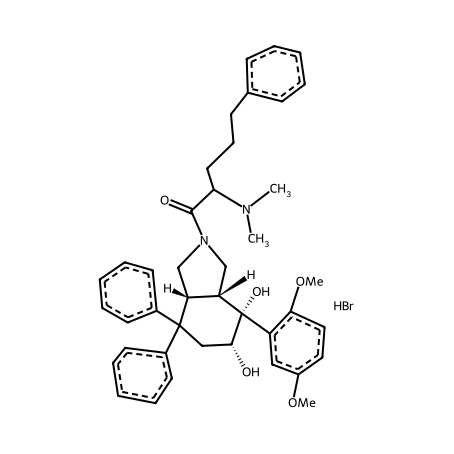 Br.COc1ccc(OC)c([C@@]2(O)[C@H](O)CC(c3ccccc3)(c3ccccc3)[C@@H]3CN(C(=O)C(CCCc4ccccc4)N(C)C)C[C@@H]32)c1